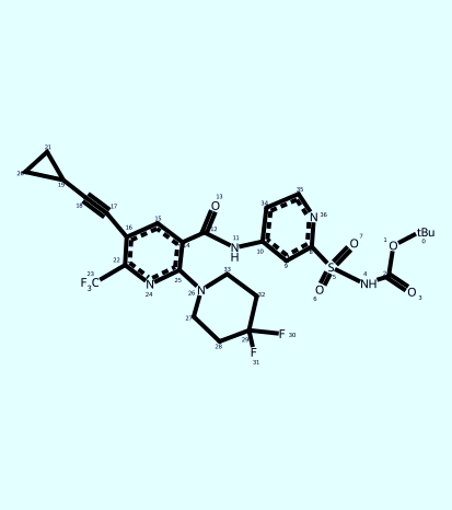 CC(C)(C)OC(=O)NS(=O)(=O)c1cc(NC(=O)c2cc(C#CC3CC3)c(C(F)(F)F)nc2N2CCC(F)(F)CC2)ccn1